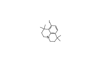 CC1(C)CCN2CCC(C)(C)c3c(I)ccc1c32